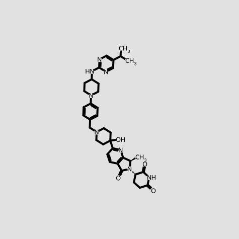 CC(C)c1cnc(NC2CCN(c3ccc(CN4CCC(O)(c5ccc6c(n5)[C@@H](C)N([C@H]5CCC(=O)NC5=O)C6=O)CC4)cc3)CC2)nc1